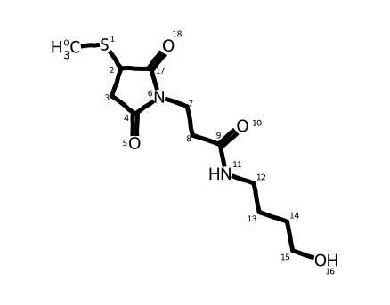 CSC1CC(=O)N(CCC(=O)NCCCCO)C1=O